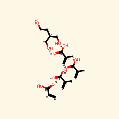 C=C(C)C(=O)O.C=C(C)C(=O)O.C=C(C)C(=O)O.C=CC(=O)O.OCCC(CO)CO